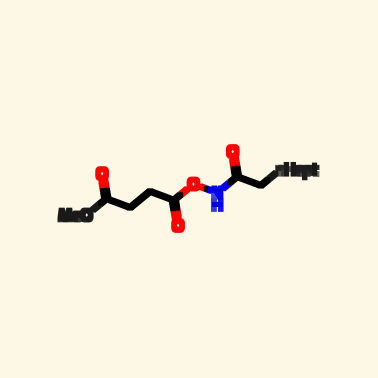 CCCCCCCCC(=O)NOC(=O)CCC(=O)OC